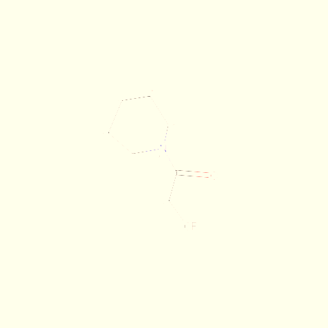 O=C(CC(F)(F)F)N1CC[CH]CC1